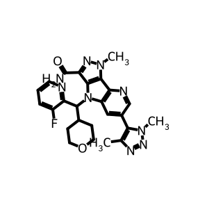 Cc1nnn(C)c1-c1cnc2c3c(c(C(N)=O)nn3C)n(C(c3ncccc3F)C3CCOCC3)c2c1